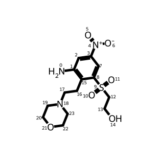 Nc1cc([N+](=O)[O-])cc(S(=O)(=O)CCO)c1CCN1CCOCC1